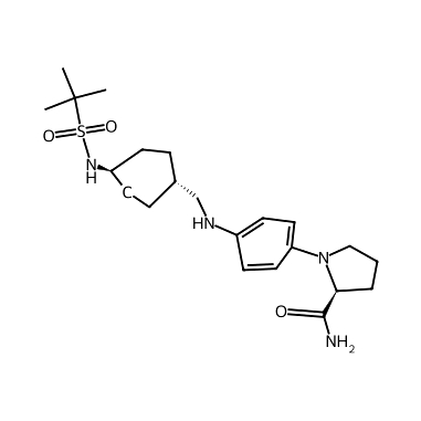 CC(C)(C)S(=O)(=O)N[C@H]1CC[C@H](CNc2ccc(N3CCC[C@H]3C(N)=O)cc2)CC1